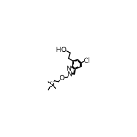 C[Si](C)(C)CCOCn1cc2cc(Cl)cc(CCO)c2n1